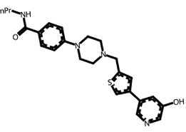 CCCNC(=O)c1ccc(N2CCN(Cc3cc(-c4cncc(O)c4)cs3)CC2)cc1